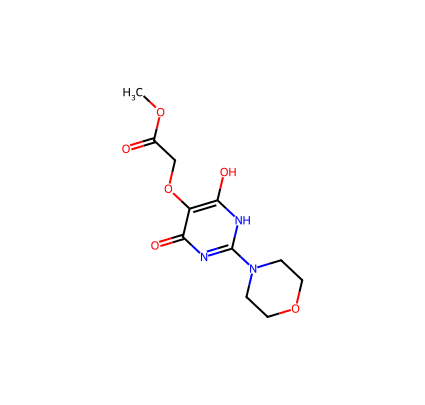 COC(=O)COc1c(O)[nH]c(N2CCOCC2)nc1=O